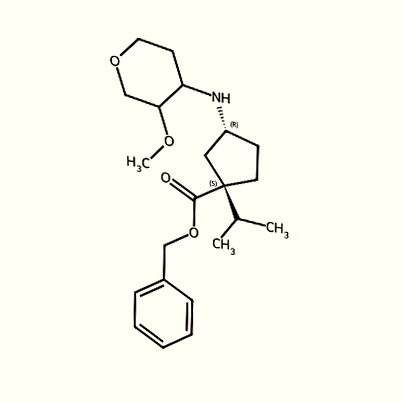 COC1COCCC1N[C@@H]1CC[C@@](C(=O)OCc2ccccc2)(C(C)C)C1